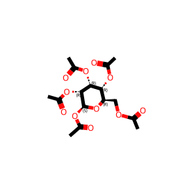 CC(=O)OC[C@H]1O[C@@H](OC(C)=O)[C@H](OC(C)=O)[C@H](OC(C)=O)[C@@H]1OC(C)=O